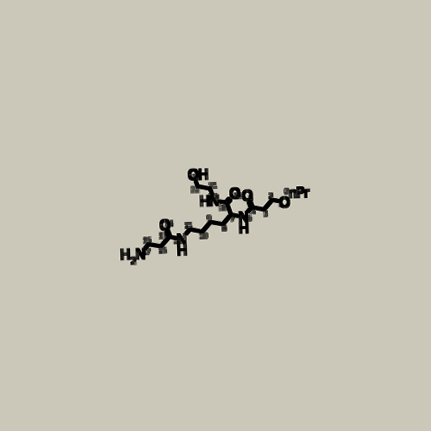 CCCOCCC(=O)NC(CCCCNC(=O)CCN)C(=O)NCCO